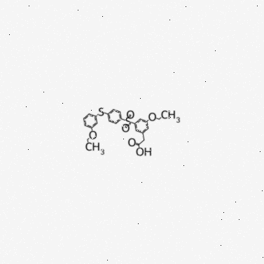 CCOc1cccc(Sc2ccc(S(=O)(=O)c3cc(CC(=O)O)cc(OCC)c3)cc2)c1